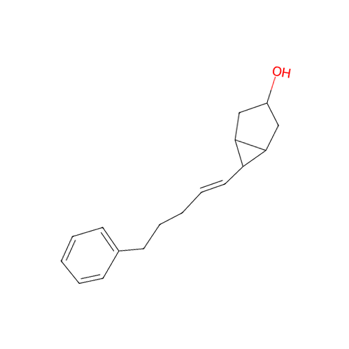 OC1CC2C(C=CCCCc3ccccc3)C2C1